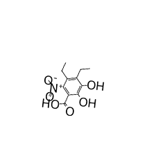 CCc1c(O)c(O)c(C(=O)O)c([N+](=O)[O-])c1CC